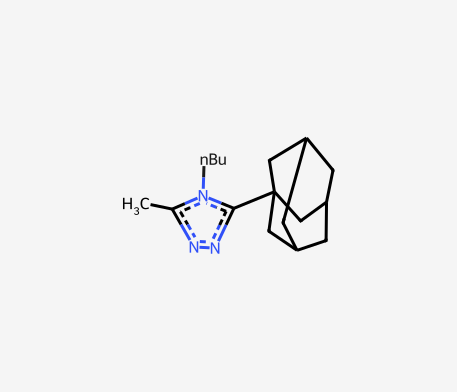 CCCCn1c(C)nnc1C12CC3CC(CC(C3)C1)C2